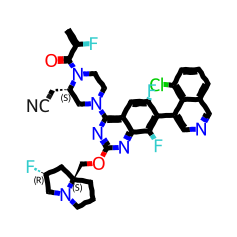 C=C(F)C(=O)N1CCN(c2nc(OC[C@@]34CCCN3C[C@H](F)C4)nc3c(F)c(-c4cncc5cccc(Cl)c45)c(F)cc23)C[C@@H]1CC#N